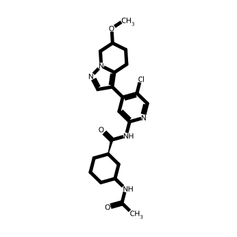 COC1CCc2c(-c3cc(NC(=O)[C@@H]4CCCC(NC(C)=O)C4)ncc3Cl)cnn2C1